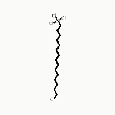 ClCCCCCCCCCCCCCCC[Si](Cl)(Cl)Cl